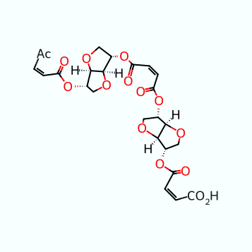 CC(=O)/C=C\C(=O)O[C@H]1CO[C@H]2[C@@H]1OC[C@@H]2OC(=O)/C=C\C(=O)O[C@H]1CO[C@H]2[C@@H]1OC[C@@H]2OC(=O)/C=C\C(=O)O